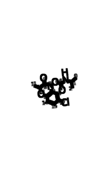 CC(C)NC(=O)ON1C(=O)C(C)Oc2ccc(Cl)cc21